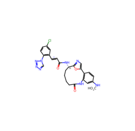 O=C(O)Nc1ccc2c(c1)NC(=O)CCCC[C@H](NC(=O)/C=C/c1cc(Cl)ccc1-n1cnnn1)c1ncc-2o1